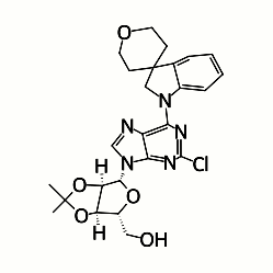 CC1(C)O[C@@H]2[C@H](O1)[C@@H](CO)O[C@H]2n1cnc2c(N3CC4(CCOCC4)c4ccccc43)nc(Cl)nc21